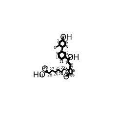 Cc1cc(O)ccc1-c1cccc(C(O)C=CC2CCC(=O)N2CCCCCCC(=O)O)c1